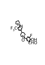 O=Cc1cc(C(=O)N2CCC(c3cnc(N4CCCC4)c(C(F)(F)F)c3)CC2)cc(F)c1O